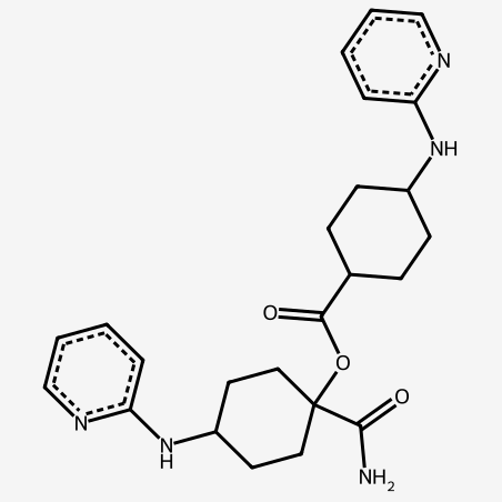 NC(=O)C1(OC(=O)C2CCC(Nc3ccccn3)CC2)CCC(Nc2ccccn2)CC1